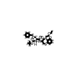 CCOC(=O)CN1C(=O)C(NC(=O)[C@H](COCc2ccccc2)NC(=O)OC(C)(C)C)CSc2ccccc21